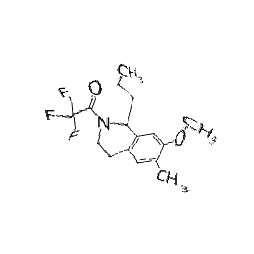 CCCC1c2cc(OC)c(C)cc2CCN1C(=O)C(F)(F)F